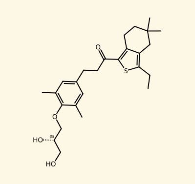 CCc1sc(C(=O)CCc2cc(C)c(OC[C@@H](O)CO)c(C)c2)c2c1CC(C)(C)CC2